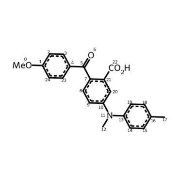 COc1ccc(C(=O)c2ccc(N(C)c3ccc(C)cc3)cc2C(=O)O)cc1